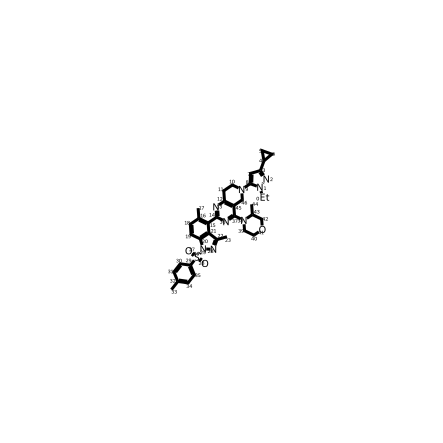 CCn1nc(C2CC2)cc1N1CCc2nc(-c3c(C)ccc4c3c(C)nn4S(=O)(=O)c3ccc(C)cc3)nc(N3CCOCC3C)c2C1